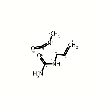 C=CCNC(N)=O.CN=C=O